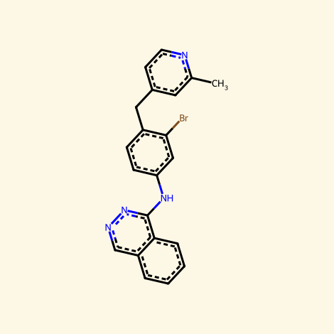 Cc1cc(Cc2ccc(Nc3nncc4ccccc34)cc2Br)ccn1